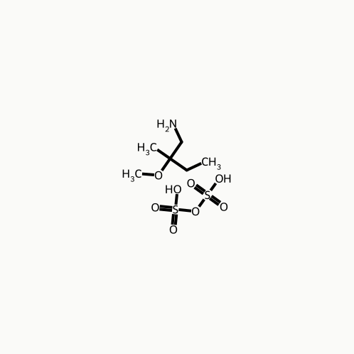 CCC(C)(CN)OC.O=S(=O)(O)OS(=O)(=O)O